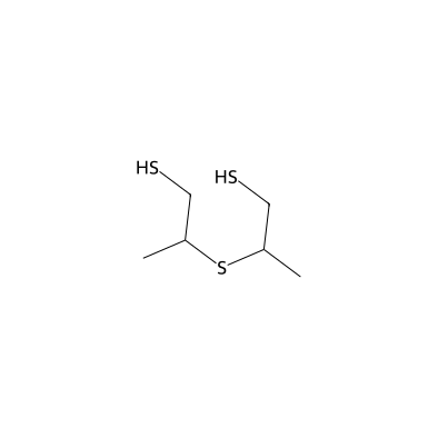 CC(CS)SC(C)CS